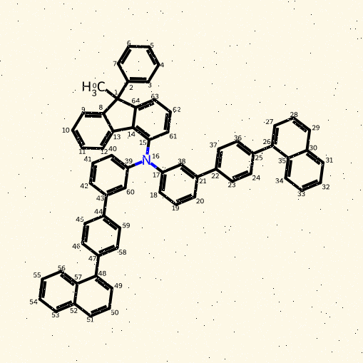 CC1(c2ccccc2)c2ccccc2-c2c(N(c3cccc(-c4ccc(-c5cccc6ccccc56)cc4)c3)c3cccc(-c4ccc(-c5cccc6ccccc56)cc4)c3)cccc21